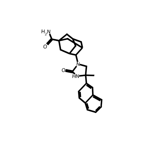 CC1(c2ccc3ccccc3c2)CN(C2C3CC4CC2CC(C(N)=O)(C4)C3)C(=O)N1